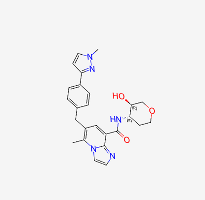 Cc1c(Cc2ccc(-c3ccn(C)n3)cc2)cc(C(=O)N[C@H]2CCOC[C@@H]2O)c2nccn12